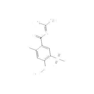 CCCSc1cc(C)c(C(=O)N=C(N)N)cc1S(C)(=O)=O